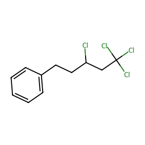 ClC(CCc1ccccc1)CC(Cl)(Cl)Cl